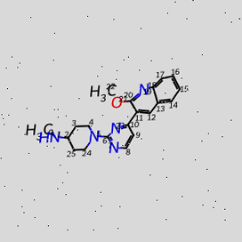 CNC1CCN(c2nccc(-c3cc4ccccc4nc3OC)n2)CC1